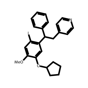 COc1cc(I)c(C(Cc2ccncc2)c2ccccc2)cc1OC1CCCC1